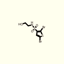 O=S(=O)(NCCO)c1cc(Br)sc1Br